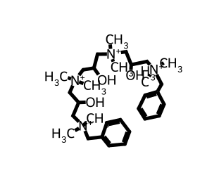 C[N+](C)(Cc1ccccc1)CC(O)C[N+](C)(C)CC(O)C[N+](C)(C)CC(O)C[N+](C)(C)Cc1ccccc1